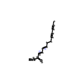 CC#CC#CCC/C=C/C=C/C(=O)NC